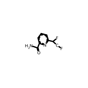 NC(=O)c1cccc(C(F)CF)n1